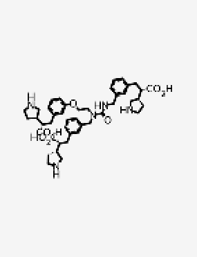 O=C(O)[C@@H](Cc1cccc(CNC(=O)N(CCOc2cccc(C[C@H](C(=O)O)[C@H]3CCNC3)c2)Cc2cccc(C[C@H](C(=O)O)[C@H]3CCNC3)c2)c1)[C@H]1CCNC1